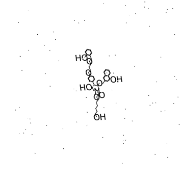 O=C(OCCCCCCO)N1CC(O)C(c2ccc(OCCCOCc3ccccc3O)cc2)C(OCc2cc(O)c3ccccc3c2)C1